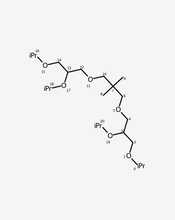 CC(C)OCC(COCC(C)(C)COCC(COC(C)C)OC(C)C)OC(C)C